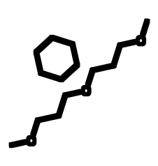 C1CCCCC1.COCCCOCCCOC